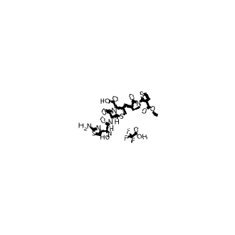 CCOC(=O)c1ccsc1N1CCC(=CC2=C(C(=O)O)N3C(=O)[C@@H](NC(=O)C(=NO)c4csc(N)n4)[C@H]3SC2)C1=O.O=C(O)C(F)(F)F